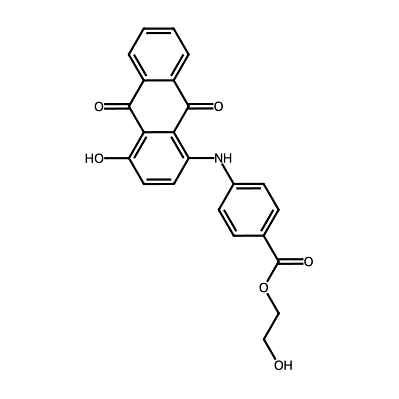 O=C(OCCO)c1ccc(Nc2ccc(O)c3c2C(=O)c2ccccc2C3=O)cc1